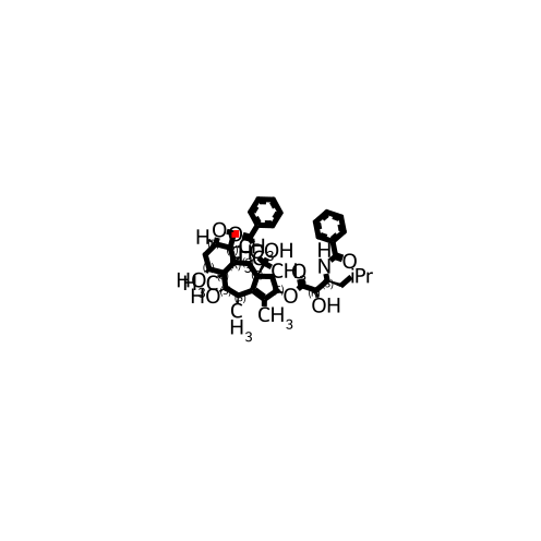 CC1=C2[C@H](C)[C@H](O)[C@@]3(C)[C@H]([C@H](OC(=O)c4ccccc4)[C@]2(C(C)(C)O)C[C@@H]1OC(=O)[C@H](O)[C@H](CC(C)C)NC(=O)c1ccccc1)[C@]1(C)CO[C@@H]1C[C@@H]3O